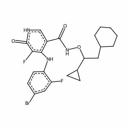 O=C(NOC(CC1CCCCC1)C1CC1)c1c[nH]c(=O)c(F)c1Nc1ccc(Br)cc1F